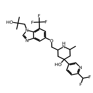 CC1CC(O)(c2ccc(C(F)F)nc2)CC(COc2cc(C(F)(F)F)c3c(c2)ncn3CC(C)(C)O)N1